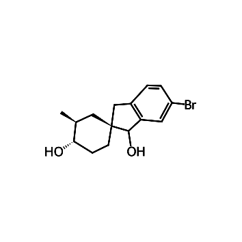 C[C@H]1C[C@@]2(CC[C@@H]1O)Cc1ccc(Br)cc1C2O